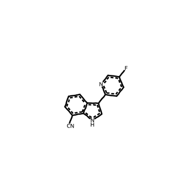 N#Cc1cccc2c(-c3ccc(F)cn3)c[nH]c12